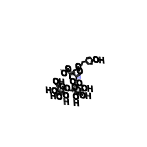 C/C=C1/C(O[C@@H]2O[C@H](CO[C@@H]3O[C@H](CO)[C@@H](O)[C@H](O)[C@H]3O)[C@@H](O)[C@H](O)[C@H]2O)OC=C(C(=O)OC)[C@H]1CC(=O)OCCc1ccc(O)cc1